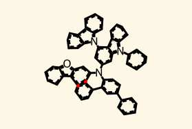 c1ccc(-c2ccc(N(c3ccc4c(c3)oc3ccccc34)c3cc(-n4c5ccccc5c5ccccc54)c4c5ccccc5n(-c5ccccc5)c4c3)c(-c3ccccc3)c2)cc1